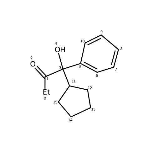 CCC(=O)C(O)(c1ccccc1)C1CCCC1